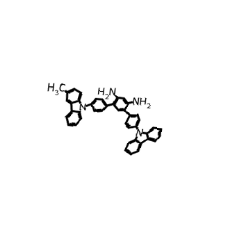 Cc1ccc2c(c1)c1ccccc1n2-c1ccc(-c2cc(-c3ccc(-n4c5ccccc5c5ccccc54)cc3)c(N)cc2N)cc1